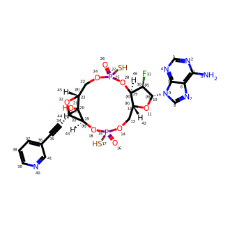 Nc1ncnc2c1ncn2[C@@H]1O[C@@H]2COP(=O)(S)O[C@@H]3[C@H](O)[C@@H](COP(=O)(S)O[C@H]2[C@H]1F)O[C@H]3C#Cc1cccnc1